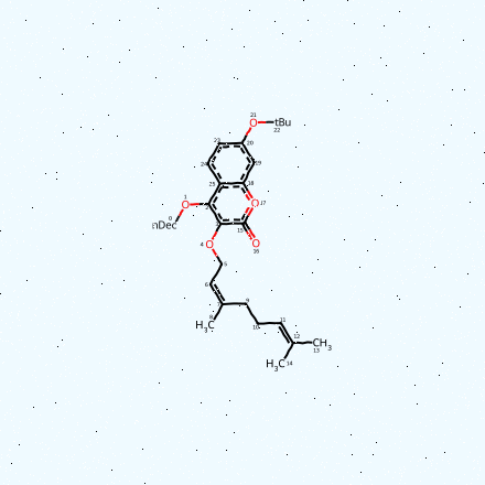 CCCCCCCCCCOc1c(OCC=C(C)CCC=C(C)C)c(=O)oc2cc(OC(C)(C)C)ccc12